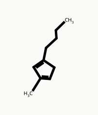 CCCCC1=CC(C)=CC1